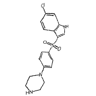 O=S(=O)(c1ccc(N2CCNCC2)cc1)c1c[nH]c2cc(Cl)ccc12